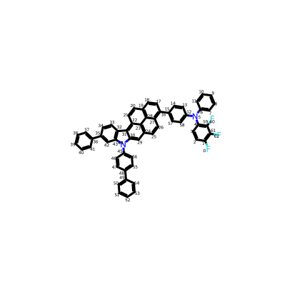 Fc1ccc(N(c2ccccc2)c2ccc(-c3ccc4ccc5c6c(ccc3c46)cc3c5c4ccc(-c5ccccc5)cc4n3-c3ccc(-c4ccccc4)cc3)cc2)c(F)c1F